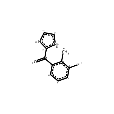 Cc1c(F)cccc1C(=O)c1ncc[nH]1